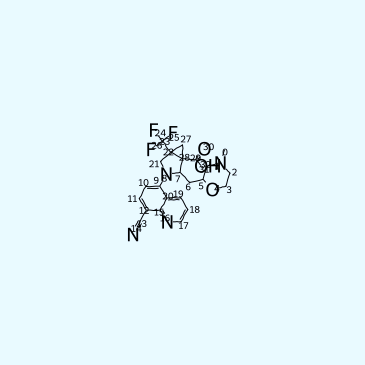 CN1CCOC(CC2N(c3ccc(C#N)c4ncccc34)CC3(C(F)(F)F)CC23C(=O)O)C1